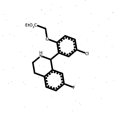 CCOC(=O)COc1ccc(Cl)cc1C1NCCc2ccc(F)cc21